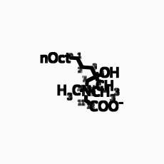 CCCCCCCCCCCC(C)(O)C[N+](C)(C)CC(=O)[O-]